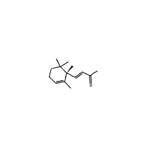 CC(=O)/C=C/[C@]1(C)C(C)=CCCC1(C)C